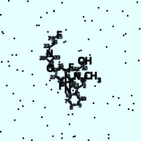 C[C@@H]1Cc2c([nH]c3ccccc23)[C@@H](c2c(F)cc(OC3CN(CCCF)C3)cc2F)N1CCO